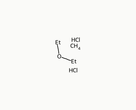 C.CCOCC.Cl.Cl